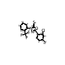 Fc1ccc(-c2nn(-c3ccccc3C(F)(F)F)c(=S)o2)c(Cl)c1